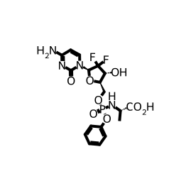 C[C@H](NP(=O)(OC[C@H]1O[C@@H](n2ccc(N)nc2=O)C(F)(F)[C@@H]1O)Oc1ccccc1)C(=O)O